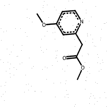 COC(=O)Cc1cc(OC)ccn1